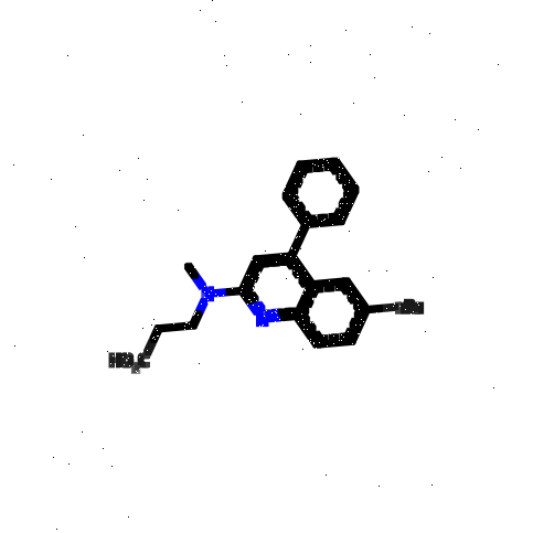 CCCCc1ccc2nc(N(C)CCC(=O)O)cc(-c3ccccc3)c2c1